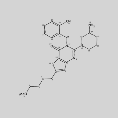 COCCOCc1cc2nc(N3CCCC(N)C3)n(Cc3ccccc3C#N)c(=O)c2s1